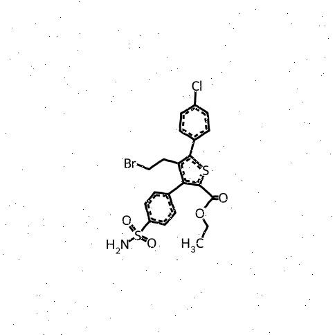 CCOC(=O)c1sc(-c2ccc(Cl)cc2)c(CCBr)c1-c1ccc(S(N)(=O)=O)cc1